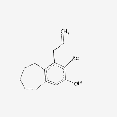 C=CCc1c2c(cc(O)c1C(C)=O)CCCCC2